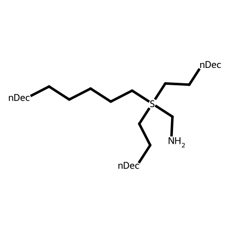 CCCCCCCCCCCCCCCS(CN)(CCCCCCCCCCCC)CCCCCCCCCCCC